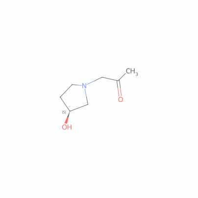 CC(=O)CN1CC[C@H](O)C1